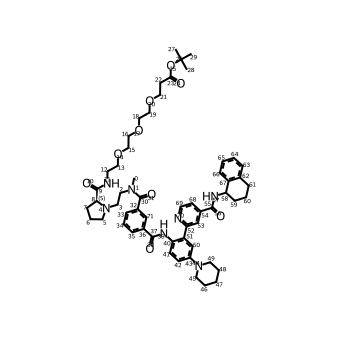 CN(CCN1CCC[C@H]1C(=O)NCCOCCOCCOCCC(=O)OC(C)(C)C)C(=O)c1cccc(C(=O)Nc2ccc(N3CCCCC3)cc2-c2cc(C(=O)NC3CCCc4ccccc43)ccn2)c1